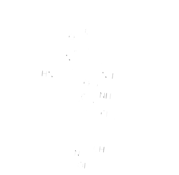 C/C(=N\O)c1cccc(C(C)(C)NC(=O)Nc2ccc(Cl)c(C(=O)N3CCNCC3)c2)c1